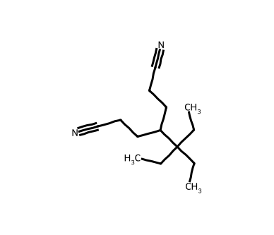 CCC(CC)(CC)C(CCC#N)CCC#N